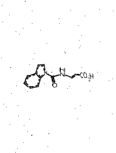 O=C(O)C=CNC(=O)n1ccc2ccccc21